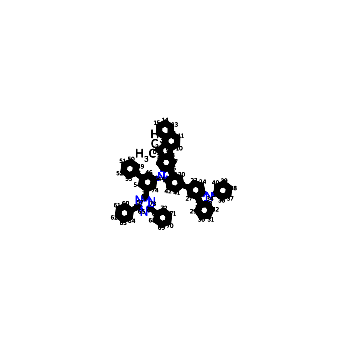 CC1(C)c2cc3c(cc2-c2ccc4ccccc4c21)c1cc(-c2ccc4c(c2)c2ccccc2n4-c2ccccc2)ccc1n3-c1cc(-c2ccccc2)cc(-c2nc(-c3ccccc3)nc(-c3ccccc3)n2)c1